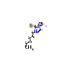 CCCCCCN1C=CN(C)C1Br